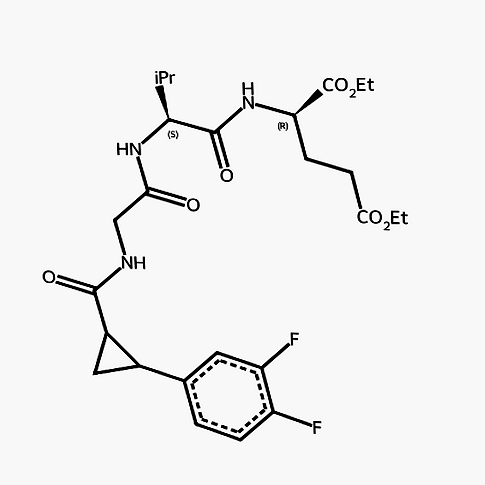 CCOC(=O)CC[C@@H](NC(=O)[C@@H](NC(=O)CNC(=O)C1CC1c1ccc(F)c(F)c1)C(C)C)C(=O)OCC